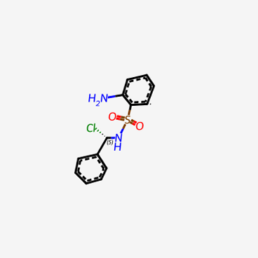 Nc1ccc[c]c1S(=O)(=O)N[C@@H](Cl)c1ccccc1